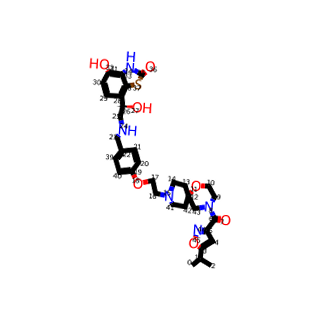 CC(C)c1cc(C(=O)N2CCOC3(CCN(CCOc4ccc(CNC[C@H](O)c5ccc(O)c6[nH]c(=O)sc56)cc4)CC3)C2)no1